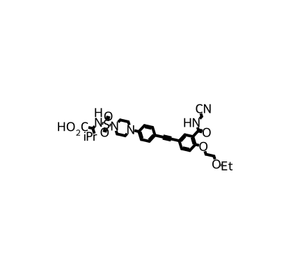 CCOCCOc1ccc(C#Cc2ccc(N3CCN(S(=O)(=O)NC(C(=O)O)C(C)C)CC3)cc2)cc1C(=O)NCC#N